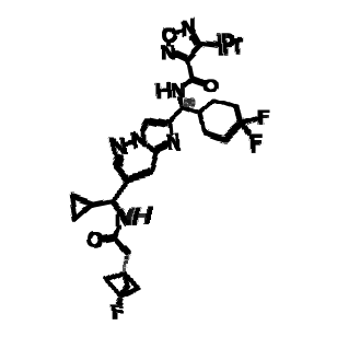 CC(C)c1nonc1C(=O)N[C@H](c1cn2ncc(C(NC(=O)C[C@]34C[C@@](F)(C3)C4)C3CC3)cc2n1)C1CCC(F)(F)CC1